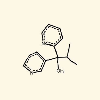 CC(C)C(O)(c1cccnc1)c1ccccn1